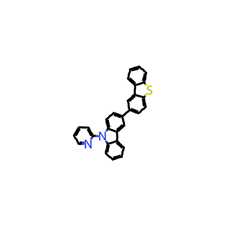 c1ccc(-n2c3ccccc3c3cc(-c4ccc5sc6ccccc6c5c4)ccc32)nc1